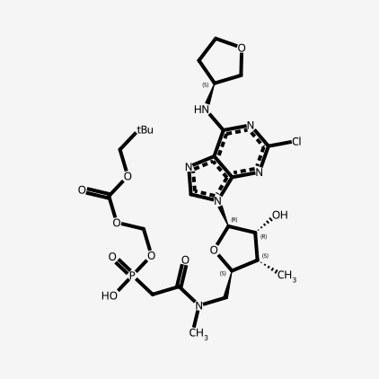 C[C@H]1[C@@H](O)[C@H](n2cnc3c(N[C@H]4CCOC4)nc(Cl)nc32)O[C@@H]1CN(C)C(=O)CP(=O)(O)OCOC(=O)OCC(C)(C)C